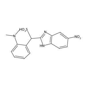 CN(C)c1ccccc1C(c1nc2cc([N+](=O)[O-])ccc2[nH]1)S(=O)(=O)O